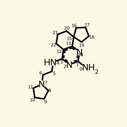 Nc1nc(NCCN2CCCC2)c2c(n1)C1(CCCC1)CCC2